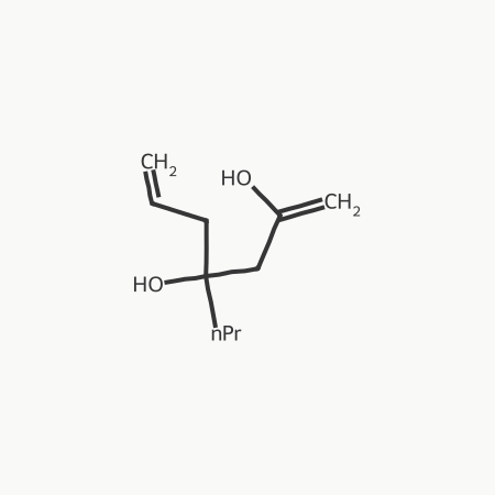 C=CCC(O)(CCC)CC(=C)O